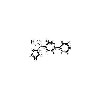 CC(c1ccc(-c2ccccc2)nc1)c1cncs1